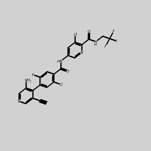 C#Cc1cncc(N)c1-c1cc(Cl)c(C(=O)Nc2cnc(C(=O)NCC(F)(F)F)c(Cl)c2)cc1F